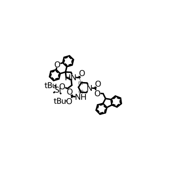 CC(C)(C)OC(=O)N[C@@H]1C[C@H](C(=O)NCC2(CCCCO[Si](C)(C)C(C)(C)C)c3ccccc3Oc3ccccc32)CN(C(=O)OCC2c3ccccc3-c3ccccc32)C1